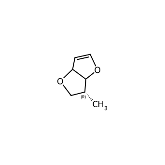 C[C@@H]1COC2C=COC21